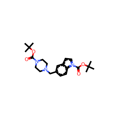 CC(C)(C)OC(=O)N1CCN(Cc2ccc3c(ccn3C(=O)OC(C)(C)C)c2)CC1